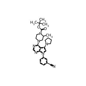 CC1CN(c2ncnc3c2c(N2CCCC2)cn3-c2cccc(C#N)c2)CCN1C(=O)OC(C)(C)C